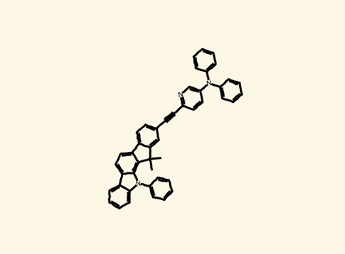 CC1(C)c2cc(C#Cc3ccc(N(c4ccccc4)c4ccccc4)cn3)ccc2-c2ccc3c4ccccc4n(-c4ccccc4)c3c21